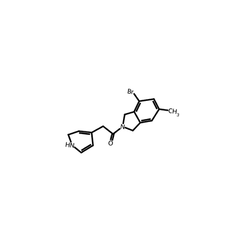 Cc1cc(Br)c2c(c1)CN(C(=O)CC1=CCNC=C1)C2